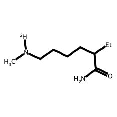 [2H]N(C)CCCCC(CC)C(N)=O